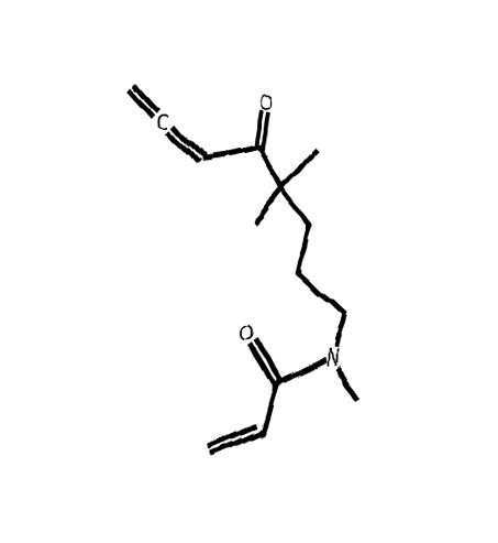 C=C=CC(=O)C(C)(C)CCCN(C)C(=O)C=C